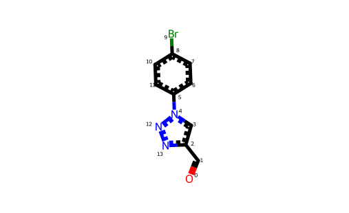 O=Cc1cn(-c2ccc(Br)cc2)nn1